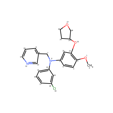 COc1ccc(N(Cc2cccnc2)c2cccc(Cl)c2)cc1OC1CCOC1